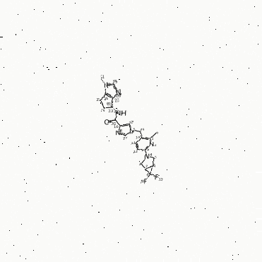 Cc1nc(N2CC3C(C2)C3(F)F)ccc1Cn1cnc(C(=O)N[C@@H]2CCc3c2ncn3C)c1